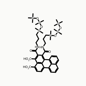 C[Si](C)(C)O[Si](C)(C)O[Si](C)(C)CCCNC(=O)c1c(C(=O)O)c2c(C(=O)O)ccc3c4cccc5cccc(c(c1C(=O)NCCC[Si](C)(C)O[Si](C)(C)O[Si](C)(C)C)c23)c54